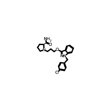 NC(=O)[C@@H]1CCCN1CCCOc1nn(Cc2ccc(Cl)cc2)c2ccccc12